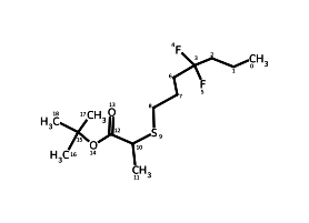 CCCC(F)(F)CCCSC(C)C(=O)OC(C)(C)C